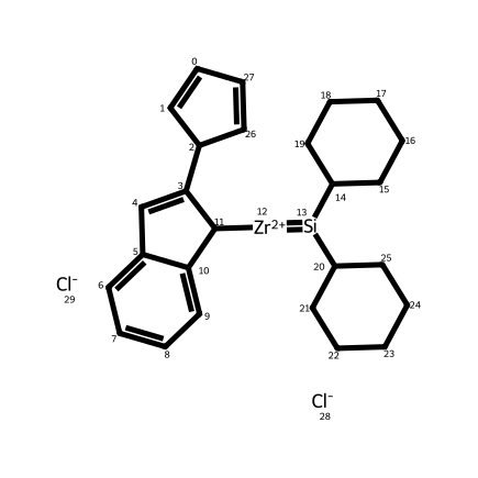 C1=CC(C2=Cc3ccccc3[CH]2[Zr+2]=[Si](C2CCCCC2)C2CCCCC2)C=C1.[Cl-].[Cl-]